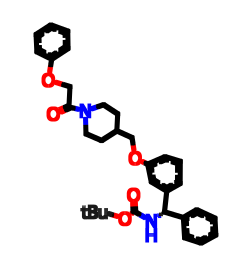 CC(C)(C)OC(=O)N[C@@H](c1ccccc1)c1cccc(OCC2CCN(C(=O)COc3ccccc3)CC2)c1